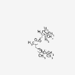 CC(CC(=O)OCCCC(C)(C)C(C)(C)C)CC1=CC=C(CC(C)(C)C)C(C)C1